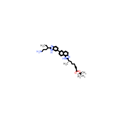 CCC(CCCN)c1nc2ccc(-c3ccc4c(ccc5nc([C@@H](C)CCCC#CC(=O)OC(C)(C)C)[nH]c54)c3)cc2[nH]1